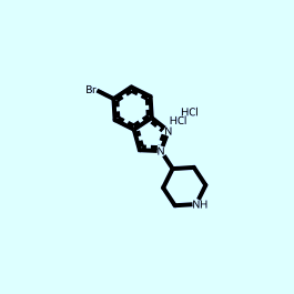 Brc1ccc2nn(C3CCNCC3)cc2c1.Cl.Cl